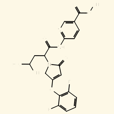 COC(=O)c1ccc(NC(=O)C(CC(C)C)N2CC(Oc3c(F)cccc3F)=CC2=O)nc1